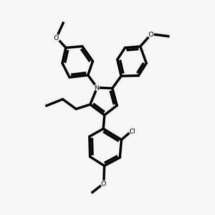 CCCc1c(-c2ccc(OC)cc2Cl)cc(-c2ccc(OC)cc2)n1-c1ccc(OC)cc1